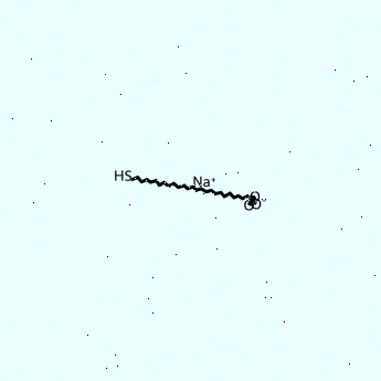 O=S(=O)([O-])CCCCCCCCCCCCCCCCCCCCCCCCCCS.[Na+]